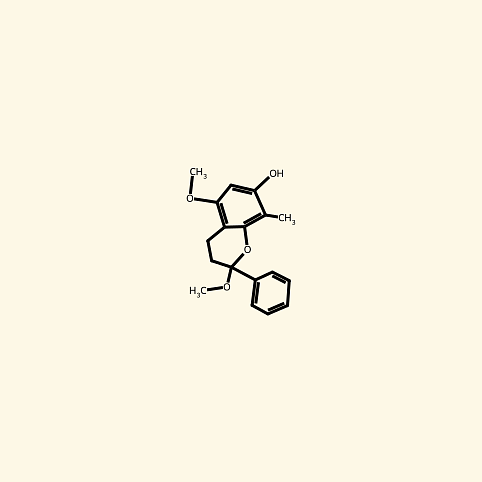 COc1cc(O)c(C)c2c1CCC(OC)(c1ccccc1)O2